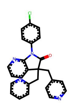 O=C1N(c2ccc(Cl)cc2)c2ncccc2C1(Cc1ccncc1)Cc1ccccn1